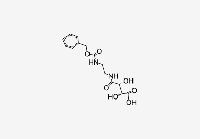 O=C(NCCNC(=O)[C@H](O)[C@H](O)C(=O)O)OCc1ccccc1